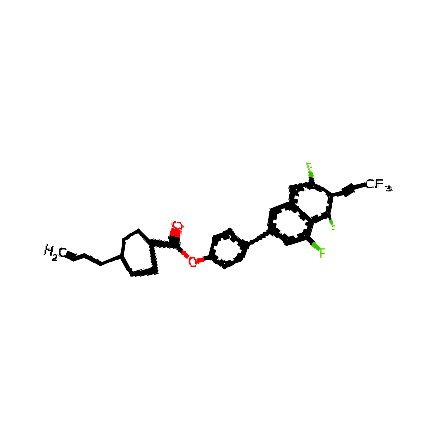 C=CCCC1CCC(C(=O)Oc2ccc(-c3cc(F)c4c(F)c(C#CC(F)(F)F)c(F)cc4c3)cc2)CC1